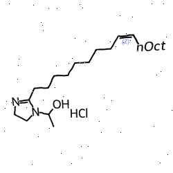 CCCCCCCC/C=C\CCCCCCCCC1=NCCN1C(C)O.Cl